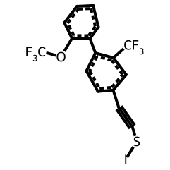 FC(F)(F)Oc1ccccc1-c1ccc(C#CSI)cc1C(F)(F)F